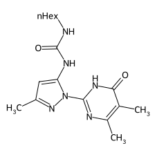 CCCCCCNC(=O)Nc1cc(C)nn1-c1nc(C)c(C)c(=O)[nH]1